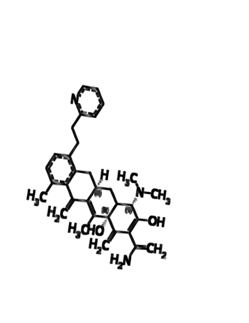 C=C(N)C1=C(O)[C@@H](N(C)C)C2C[C@@H]3Cc4c(CCc5ccccn5)ccc(C)c4C(=C)C3=C(C)[C@]2(O)C1=C